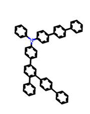 c1ccc(-c2ccc(-c3ccc(N(c4ccccc4)c4ccc(-c5ccc(-c6ccccc6)c(-c6ccc(-c7ccccc7)cc6)c5)cc4)cc3)cc2)cc1